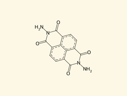 NN1C(=O)c2ccc3c4c(ccc(c24)C1=O)C(=O)N(N)C3=O